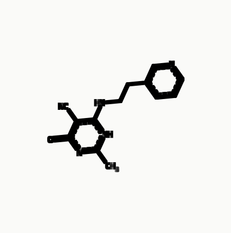 Cc1nc(=O)c(C#N)c(NCCc2cccnc2)[nH]1